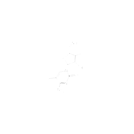 Cc1cn([C@@H]2O[C@H](CN)C(O)C2O)c(=O)nc1N